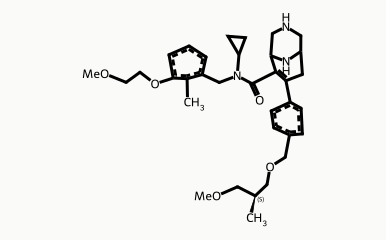 COCCOc1cccc(CN(C(=O)C2=C(c3ccc(COC[C@@H](C)COC)cc3)CC3CNCC2N3)C2CC2)c1C